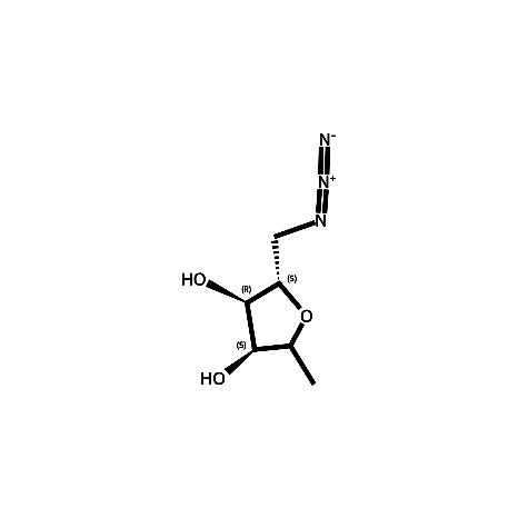 CC1O[C@@H](CN=[N+]=[N-])[C@H](O)[C@@H]1O